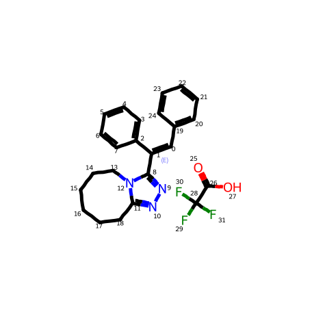 C(=C(/c1ccccc1)c1nnc2n1CCCCCC2)/c1ccccc1.O=C(O)C(F)(F)F